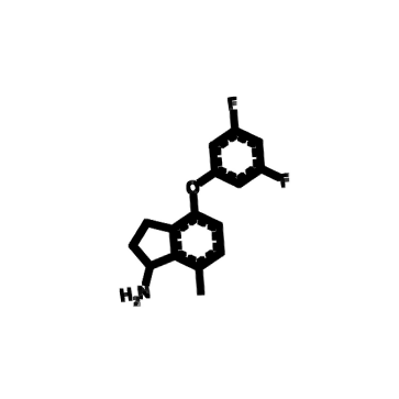 Cc1ccc(Oc2cc(F)cc(F)c2)c2c1C(N)CC2